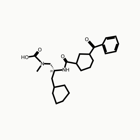 CN(C[C@@H](CC1CCCCC1)NC(=O)C1CCCC(C(=O)c2ccccc2)C1)C(=O)O